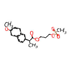 COc1ccc2cc(C(C)C(=O)OCCCOS(C)(=O)=O)ccc2c1